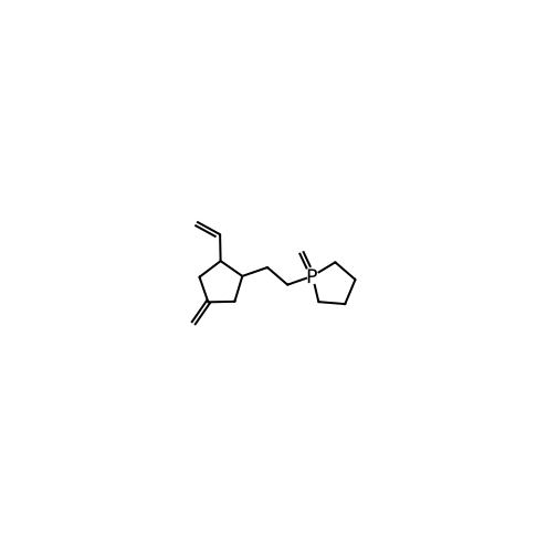 C=CC1CC(=C)CC1CCP1(=C)CCCC1